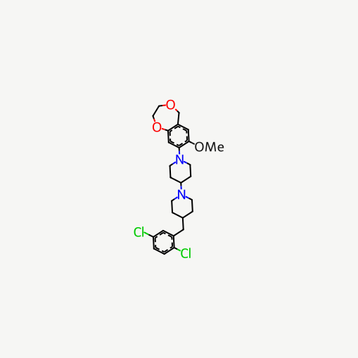 COc1cc2c(cc1N1CCC(N3CCC(Cc4cc(Cl)ccc4Cl)CC3)CC1)OCCOC2